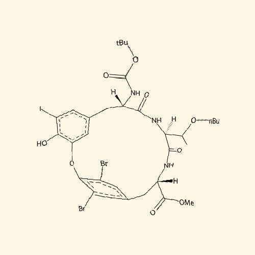 CCCCOC(C)[C@@H]1NC(=O)[C@@H](NC(=O)OC(C)(C)C)Cc2cc(I)c(O)c(c2)Oc2c(Br)cc(cc2Br)C[C@@H](C(=O)OC)NC1=O